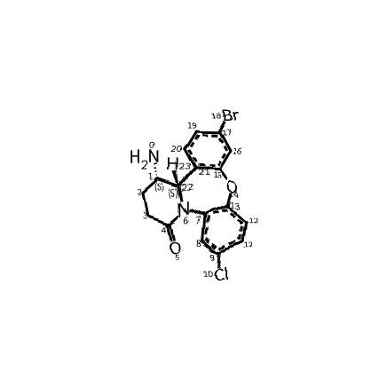 N[C@H]1CCC(=O)N2c3cc(Cl)ccc3Oc3cc(Br)ccc3[C@@H]12